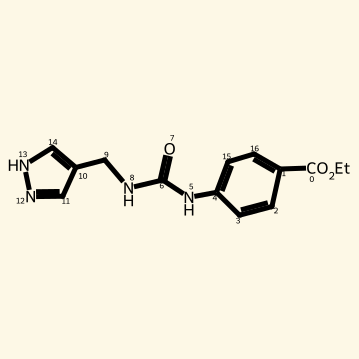 CCOC(=O)c1ccc(NC(=O)NCc2cn[nH]c2)cc1